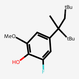 COc1cc(C(C)(CC(C)(C)C)C(C)(C)C)cc(F)c1O